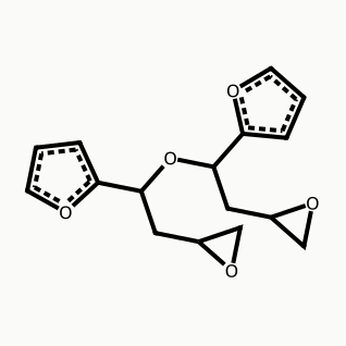 c1coc(C(CC2CO2)OC(CC2CO2)c2ccco2)c1